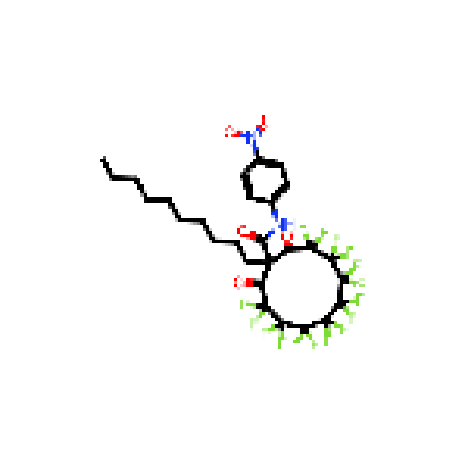 CCCCCCCCCCC1(C(=O)Nc2ccc([N+](=O)[O-])cc2)C(=O)C(F)(F)C(F)(F)C(F)(F)C(F)(F)C(F)(F)C(F)(F)C(F)(F)C(F)(F)C1=O